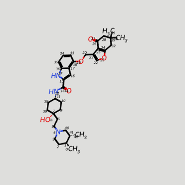 C[C@H]1CCN(CC[C@]2(O)CC[C@@H](NC(=O)c3cc4c(OCc5coc6c5C(=O)CC(C)(C)C6)cccc4[nH]3)CC2)C[C@@H]1C